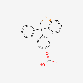 O=C(O)O.PCC(c1ccccc1)(c1ccccc1)c1ccccc1